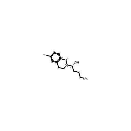 CC(=O)CCC[C@@H](O)[C@H]1CCc2cc(F)ccc2O1